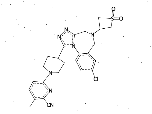 Cc1ccc(N2CCC(c3nnc4n3-c3ccc(Cl)cc3CN(C3CS(=O)(=O)C3)C4)CC2)nc1C#N